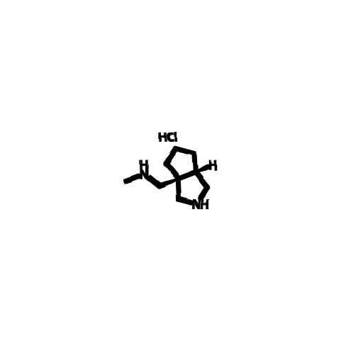 CNC[C@@]12CCC[C@@H]1CNC2.Cl